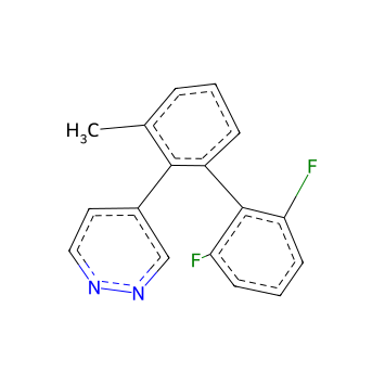 Cc1cccc(-c2c(F)cccc2F)c1-c1ccnnc1